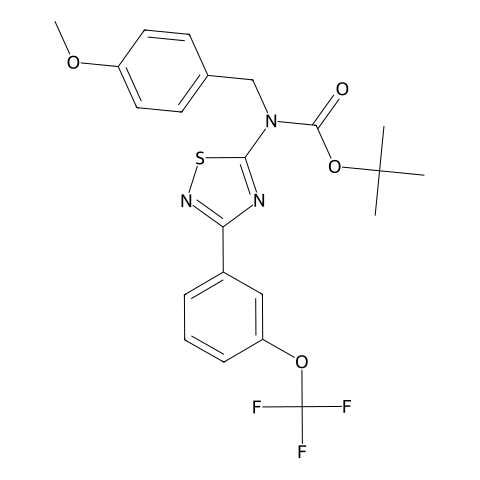 COc1ccc(CN(C(=O)OC(C)(C)C)c2nc(-c3cccc(OC(F)(F)F)c3)ns2)cc1